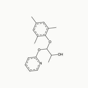 Cc1cc(C)c(OC(Oc2ccccn2)C(C)O)c(C)c1